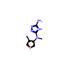 Cc1cscc1N(C)c1nnc(N)[nH]1